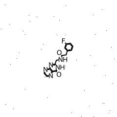 O=C(Cc1cccc(F)c1)NCc1nc2nccnc2c(=O)[nH]1